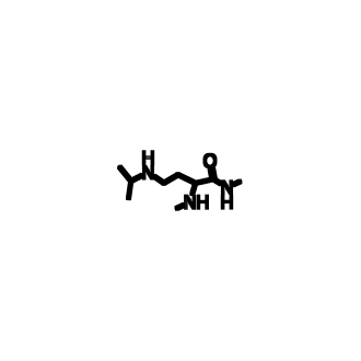 CNC(=O)C(CCNC(C)C)NC